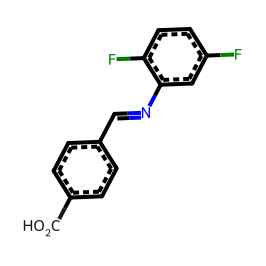 O=C(O)c1ccc(C=Nc2cc(F)ccc2F)cc1